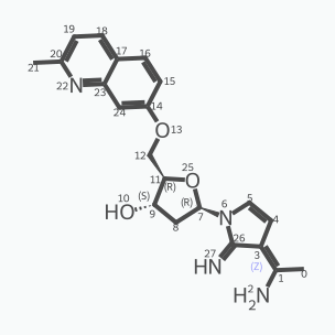 C/C(N)=C1\C=CN([C@H]2C[C@H](O)[C@@H](COc3ccc4ccc(C)nc4c3)O2)C1=N